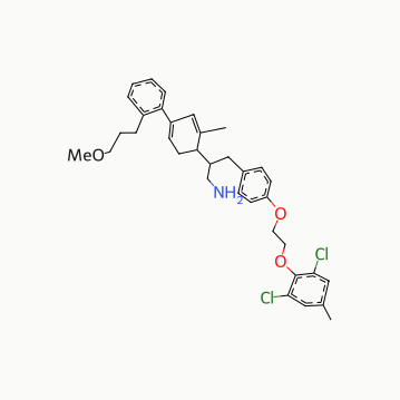 COCCCc1ccccc1C1=CCC(C(CN)Cc2ccc(OCCOc3c(Cl)cc(C)cc3Cl)cc2)C(C)=C1